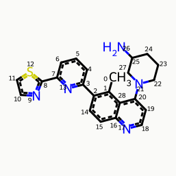 Cc1c(-c2cccc(-c3nccs3)n2)ccc2nccc(N3CCCC(N)C3)c12